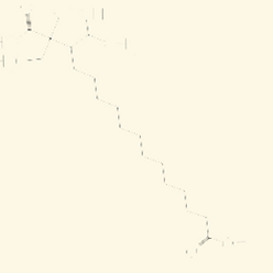 CCC(CC)(C(=O)O)C(CCCCCCCCCCCCC(=O)O)C(C)C